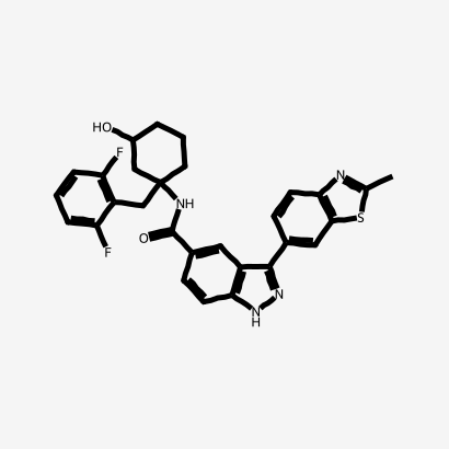 Cc1nc2ccc(-c3n[nH]c4ccc(C(=O)NC5(Cc6c(F)cccc6F)CCCC(O)C5)cc34)cc2s1